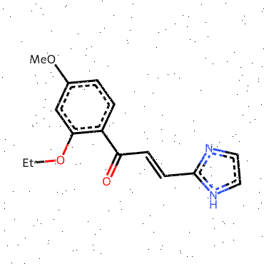 CCOc1cc(OC)ccc1C(=O)C=Cc1ncc[nH]1